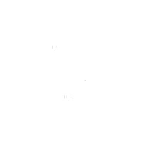 C=C(CN)CCC(=C)CN